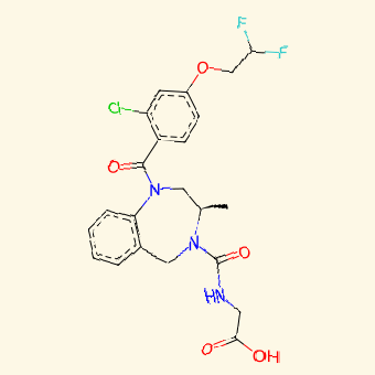 C[C@@H]1CN(C(=O)c2ccc(OCC(F)F)cc2Cl)c2ccccc2CN1C(=O)NCC(=O)O